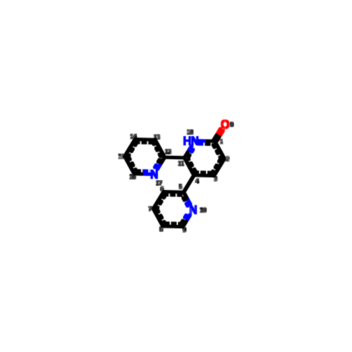 O=c1ccc(-c2ccccn2)c(-c2ccccn2)[nH]1